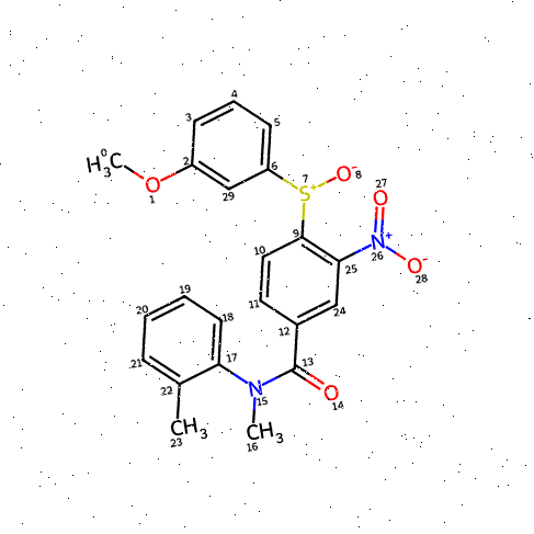 COc1cccc([S+]([O-])c2ccc(C(=O)N(C)c3ccccc3C)cc2[N+](=O)[O-])c1